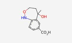 CC1(O)CCONc2ccc(C(=O)O)cc21